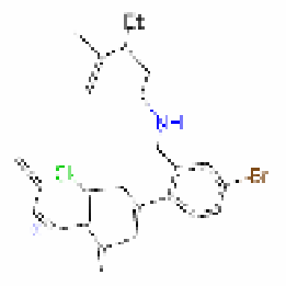 C=C/C=C\C1=C(Cl)CC(c2ccc(Br)cc2CNCCC(CC)C(=C)C)=CC1=C